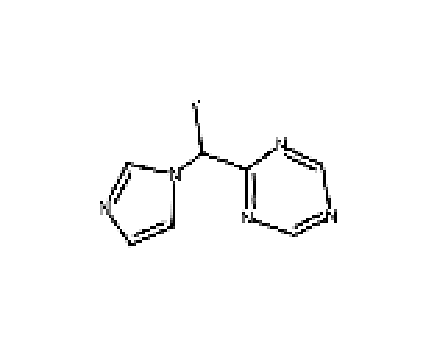 [CH2]C(c1ncncn1)n1ccnc1